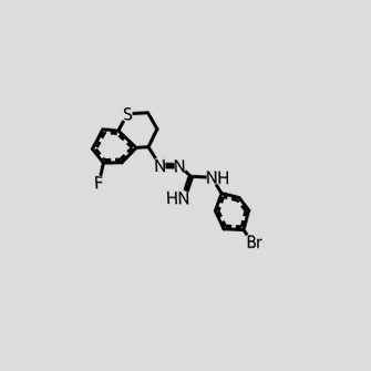 N=C(N=NC1CCSc2ccc(F)cc21)Nc1ccc(Br)cc1